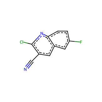 N#Cc1cc2cc(F)ccc2nc1Cl